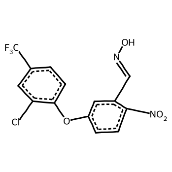 O=[N+]([O-])c1ccc(Oc2ccc(C(F)(F)F)cc2Cl)cc1C=NO